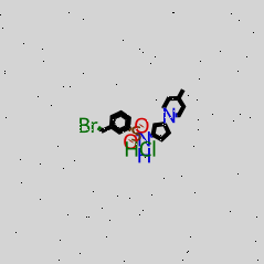 CC1CCN(C2CCC(NS(=O)(=O)c3cccc(CBr)c3)C2)CC1.Cl